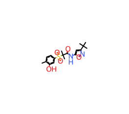 Cc1ccc(S(=O)(=O)C(C)(C)C(=O)Nc2cc(C(C)(C)C)no2)cc1O